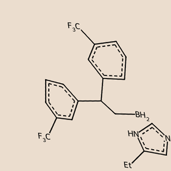 BCC(c1cccc(C(F)(F)F)c1)c1cccc(C(F)(F)F)c1.CCc1cnc[nH]1